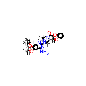 [2H]C([2H])([2H])Oc1cc2nc(N3C([2H])([2H])CN(C(=O)C4Oc5ccccc5OC4([2H])[2H])CC3([2H])[2H])nc(N)c2cc1OC([2H])([2H])[2H]